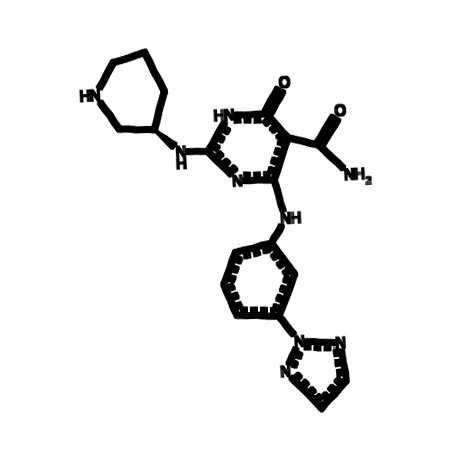 NC(=O)c1c(Nc2cccc(-n3nccn3)c2)nc(N[C@@H]2CCCNC2)[nH]c1=O